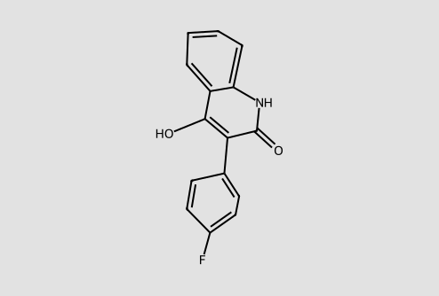 O=c1[nH]c2ccccc2c(O)c1-c1ccc(F)cc1